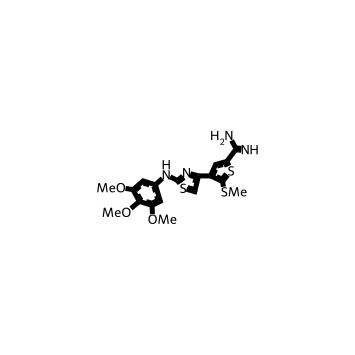 COc1cc(Nc2nc(-c3cc(C(=N)N)sc3SC)cs2)cc(OC)c1OC